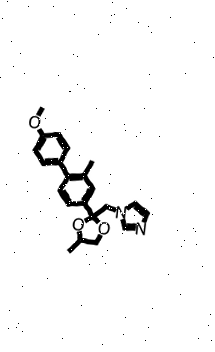 COc1ccc(-c2ccc(C3(Cn4ccnc4)OCC(C)O3)cc2C)cc1